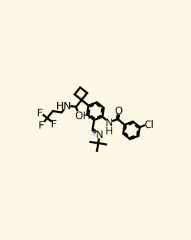 CC(C)(C)/N=C/c1cc(C2(C(O)NCCC(F)(F)F)CCC2)ccc1NC(=O)c1cccc(Cl)c1